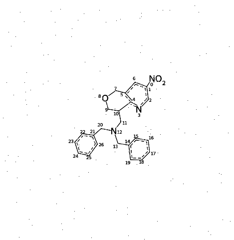 O=[N+]([O-])c1cnc2c(c1)COCC2CN(Cc1ccccc1)Cc1ccccc1